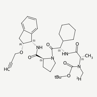 [2H]CN(C(=O)OC(C)(C)C)[C@@H](C)C(=O)N[C@H](C(=O)N1CCC[C@H]1C(=O)N[C@H]1c2ccccc2C[C@H]1OCC#C)C1CCCCC1